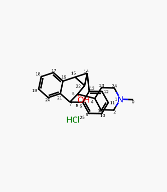 CN1CCC(C2(O)C3c4ccccc4C4C(c5ccccc53)C42)CC1.Cl